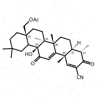 CC(=O)OC[C@]12CCC(C)(C)CC1[C@@]1(O)C(=O)C=C3[C@@]4(C)C=C(C#N)C(=O)[C@@H](C)[C@@H]4CC[C@@]3(C)[C@]1(C)CC2